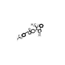 CCC(=O)C([C@@H]1CNC[C@@H]1c1ccccc1)N1CCC2(CCN(Cc3ccc(OC(F)F)cc3)C2=O)CC1